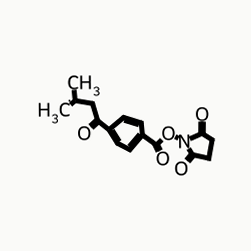 C[C](C)CC(=O)c1ccc(C(=O)ON2C(=O)CCC2=O)cc1